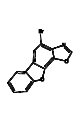 Brc1cc2c3ccccc3oc2c2ocnc12